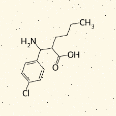 CCCCC(C(=O)O)C(N)c1ccc(Cl)cc1